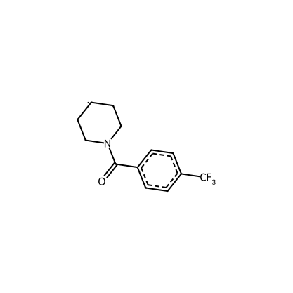 O=C(c1ccc(C(F)(F)F)cc1)N1CC[CH]CC1